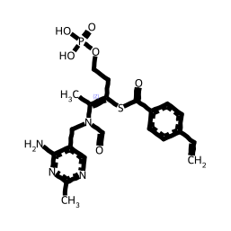 C=Cc1ccc(C(=O)S/C(CCOP(=O)(O)O)=C(/C)N(C=O)Cc2cnc(C)nc2N)cc1